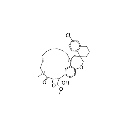 COC(=O)[C@]1(O)c2ccc3c(c2)N(CCCCC/C=C/CN(C)C(=O)[C@@H]1C)C[C@@]1(CCCc2cc(Cl)ccc21)CO3